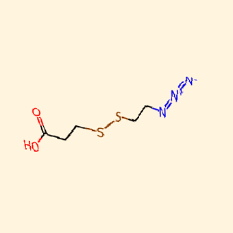 [N-]=[N+]=NCCSSCCC(=O)O